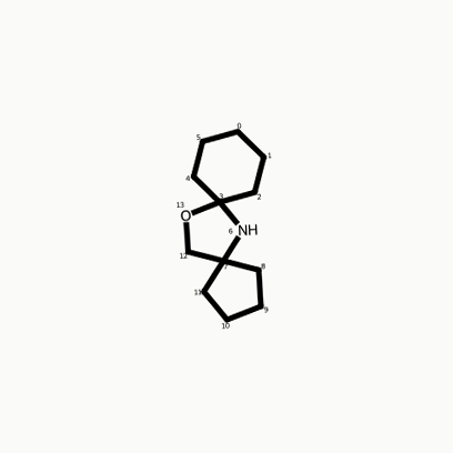 C1CCC2(CC1)NC1(CCCC1)CO2